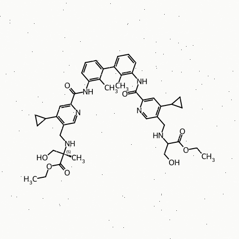 CCOC(=O)C(CO)NCc1cnc(C(=O)Nc2cccc(-c3cccc(NC(=O)c4cc(C5CC5)c(CN[C@@](C)(CO)C(=O)OCC)cn4)c3C)c2C)cc1C1CC1